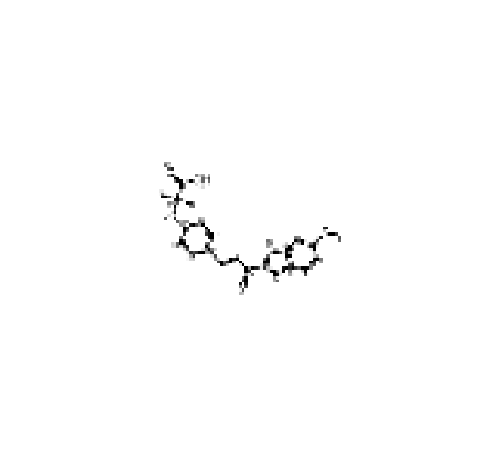 CSc1ccc2cc(C(=O)C=Cc3ccc(OC(C)(C)C(=O)O)cc3)oc2c1